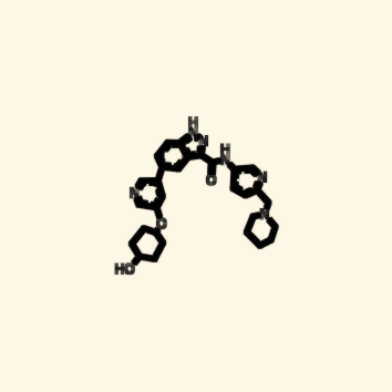 O=C(Nc1ccc(CN2CCCCC2)nc1)c1n[nH]c2ccc(-c3cncc(OC4CCC(O)CC4)c3)cc12